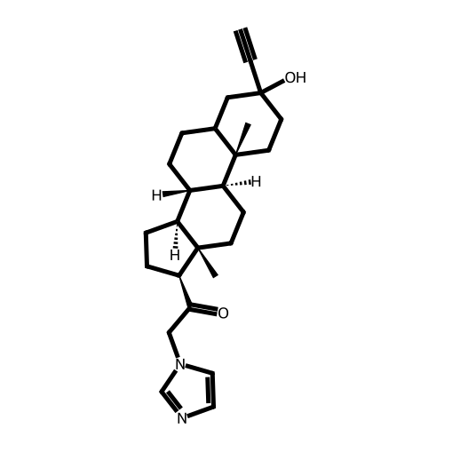 C#CC1(O)CC[C@@]2(C)C(CC[C@H]3[C@@H]4CC[C@H](C(=O)Cn5ccnc5)[C@@]4(C)CC[C@@H]32)C1